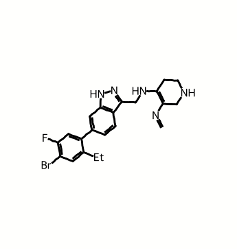 C=NC1=C(NCc2n[nH]c3cc(-c4cc(F)c(Br)cc4CC)ccc23)CCNC1